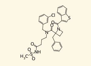 CS(=O)(=O)NC(=O)CCCN(Cc1cccc(Cl)c1)C(=O)C1(Cc2ccccc2)CCN1C(=O)c1csc2ccccc12